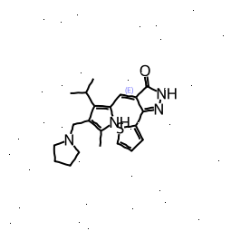 Cc1[nH]c(/C=C2/C(=O)NN=C2c2cccs2)c(C(C)C)c1CN1CCCC1